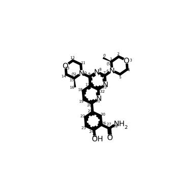 C[C@H]1COCCN1c1nc(N2CCOC[C@@H]2C)c2ccc(-c3ccc(O)c(C(N)=O)c3)nc2n1